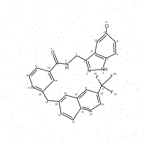 O=C(NCc1n[nH]c2ccc(Cl)cc12)c1ccnc(Cc2ccc3ncc(C(F)(F)F)cc3c2)c1